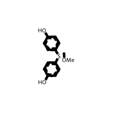 COC.Oc1ccc(Sc2ccc(O)cc2)cc1